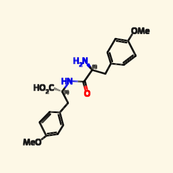 COc1ccc(C[C@H](N)C(=O)N[C@H](Cc2ccc(OC)cc2)C(=O)O)cc1